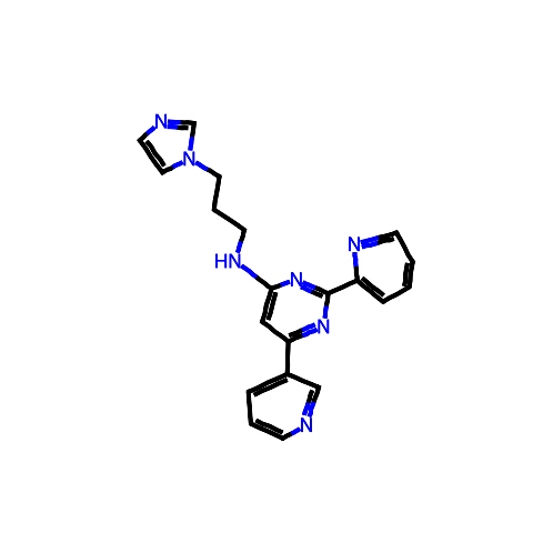 c1ccc(-c2nc(NCCCn3ccnc3)cc(-c3cccnc3)n2)nc1